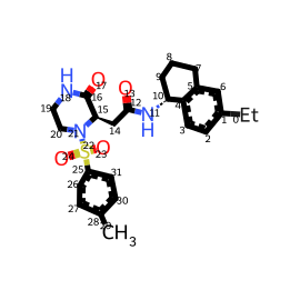 CCc1ccc2c(c1)CCC[C@H]2NC(=O)C[C@@H]1C(=O)NCCN1S(=O)(=O)c1ccc(C)cc1